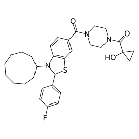 O=C(c1ccc2c(c1)SC(c1ccc(F)cc1)N2C1CCCCCCCC1)N1CCN(C(=O)C2(O)CC2)CC1